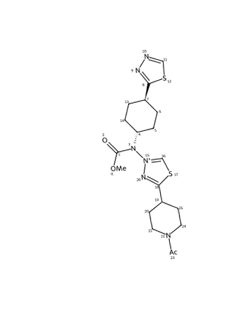 COC(=O)N([C@H]1CC[C@H](c2nncs2)CC1)[n+]1csc(C2CCN(C(C)=O)CC2)n1